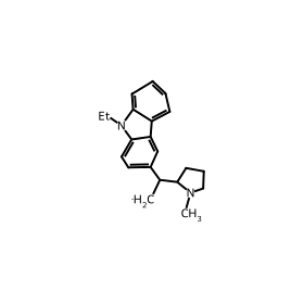 [CH2]C(c1ccc2c(c1)c1ccccc1n2CC)C1CCCN1C